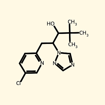 CC(C)(C)C(O)C(Cc1ccc(Cl)cn1)n1cncn1